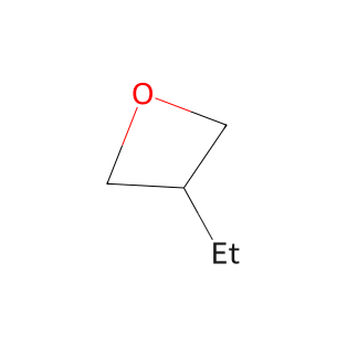 [CH2]CC1COC1